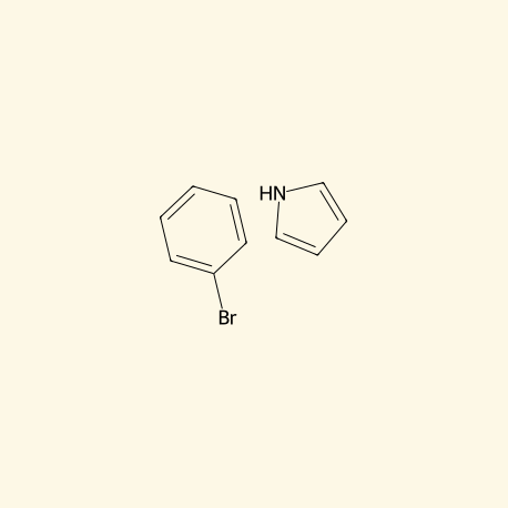 Brc1ccccc1.c1cc[nH]c1